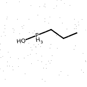 CCC[PH3]O